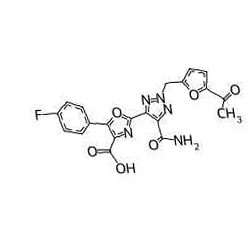 CC(=O)c1ccc(Cn2nc(C(N)=O)c(-c3nc(C(=O)O)c(-c4ccc(F)cc4)o3)n2)o1